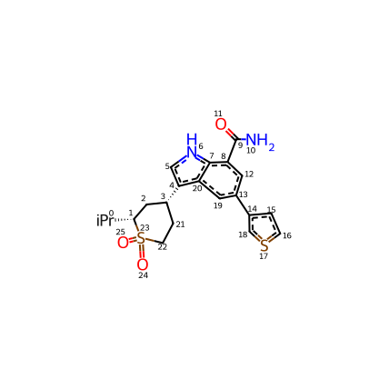 CC(C)[C@@H]1C[C@H](c2c[nH]c3c(C(N)=O)cc(-c4ccsc4)cc23)CCS1(=O)=O